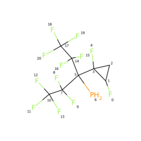 FC1CC1(F)C(P)(C(F)(F)C(F)(F)F)C(F)(F)C(F)(F)F